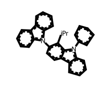 CC(C)c1c(-n2c3ccccc3c3ccccc32)ccc2c3ccccc3n(-c3ccccc3)c12